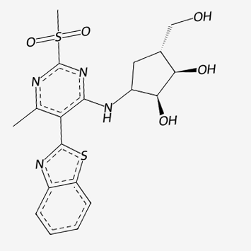 Cc1nc(S(C)(=O)=O)nc(NC2C[C@H](CO)[C@@H](O)[C@H]2O)c1-c1nc2ccccc2s1